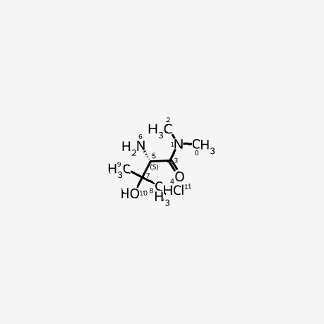 CN(C)C(=O)[C@@H](N)C(C)(C)O.Cl